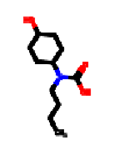 CCCCN(C(=O)O)C1CCC(O)CC1